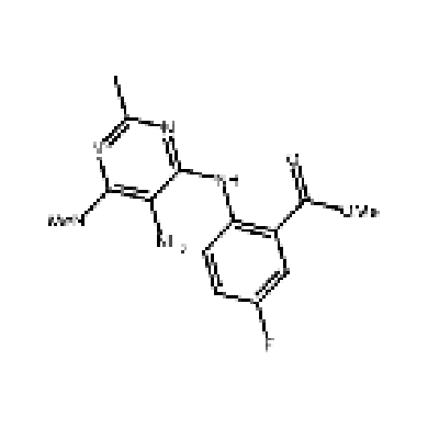 CNc1nc(C)nc(Nc2ccc(F)cc2C(=O)OC)c1N